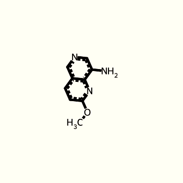 COc1ccc2cncc(N)c2n1